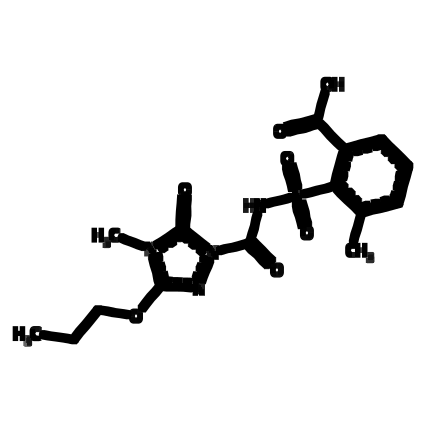 CCCOc1nn(C(=O)NS(=O)(=O)c2c(C)cccc2C(=O)O)c(=O)n1C